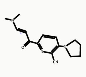 CN(C)/C=C/C(=O)c1ccc(N2CCCC2)c(C#N)n1